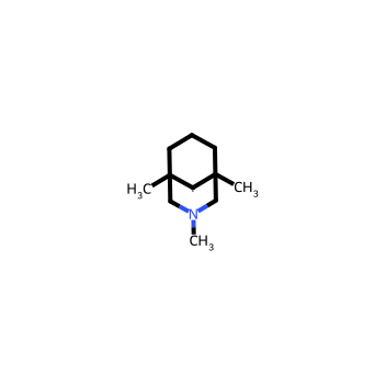 CN1CC2(C)[CH]C(C)(CCC2)C1